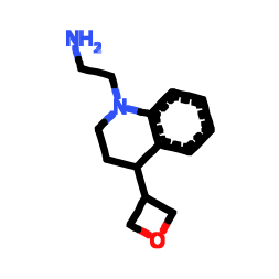 NCCN1CCC(C2COC2)c2ccccc21